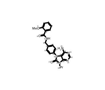 COc1ccccc1C(=O)NCc1ccc(-n2c(=O)n(C(C)C)c3ncnc(N)c32)cc1